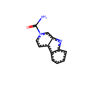 NC(=O)n1ccc2c3ccccc3nc-2c1